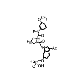 CC(=O)c1cn(CC(=O)N2C[C@H](F)C[C@H]2C(=O)N(F)c2cccc(OC(F)(F)F)c2)c2cc(OCP(=O)(O)O)ccc12